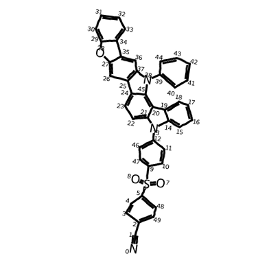 N#Cc1ccc(S(=O)(=O)c2ccc(-n3c4ccccc4c4c3ccc3c5cc6oc7ccccc7c6cc5n(-c5ccccc5)c34)cc2)cc1